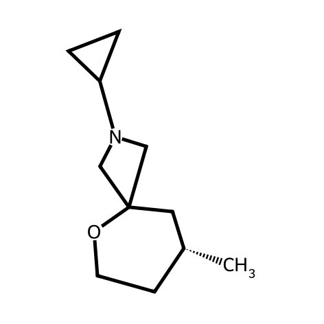 C[C@@H]1CCOC2(C1)CN(C1CC1)C2